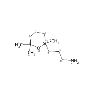 CC1(C)CCC[Si](C)(CCCN)O1